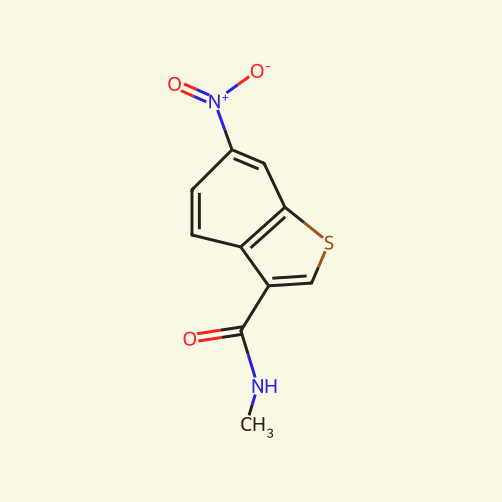 CNC(=O)c1csc2cc([N+](=O)[O-])ccc12